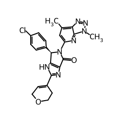 Cc1cc(N2C(=O)c3nc(C4=CCOCC4)[nH]c3[C@H]2c2ccc(Cl)cc2)nc2c1nnn2C